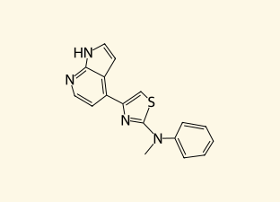 CN(c1ccccc1)c1nc(-c2ccnc3[nH]ccc23)cs1